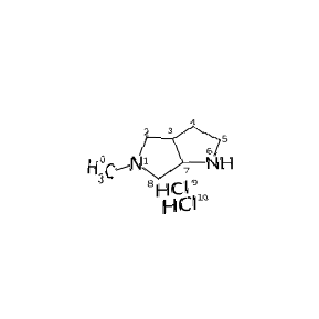 CN1CC2CCNC2C1.Cl.Cl